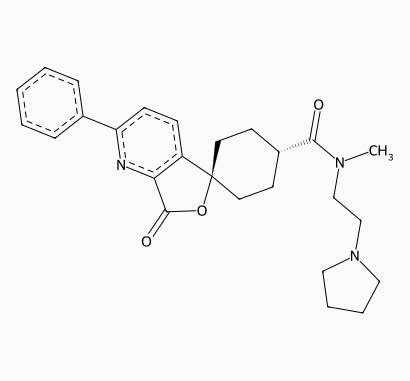 CN(CCN1CCCC1)C(=O)[C@H]1CC[C@@]2(CC1)OC(=O)c1nc(-c3ccccc3)ccc12